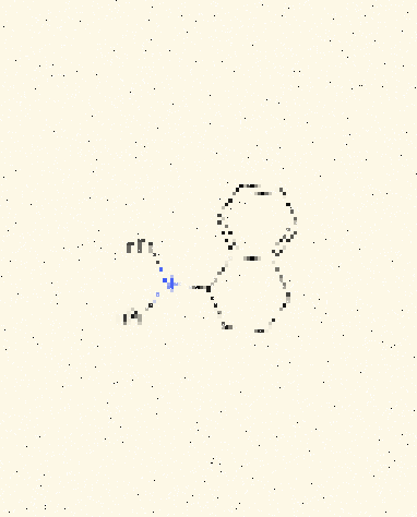 CCCN(CCC)C1CCCc2ccccc21